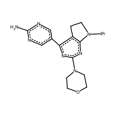 CC(C)N1CCc2c(-c3cnc(N)nc3)nc(N3CCOCC3)nc21